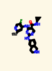 CC(C)(C)c1cc(Nc2nc(Nc3ccc4c(c3)CCNC4)ncc2C(=O)NC2CC2)c(F)cn1